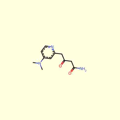 CN(C)c1ccnc(CC(=O)CC(N)=O)c1